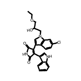 CCOCC(O)Cn1cc(C2=C(c3c[nH]c4ccccc34)C(=O)NC2=O)c2ccc(Cl)cc21